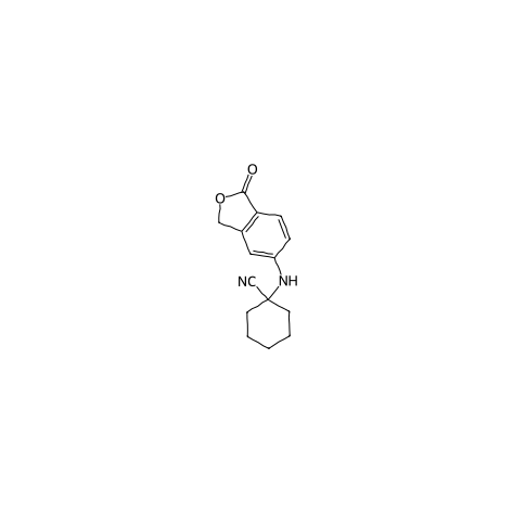 N#CC1(Nc2ccc3c(c2)COC3=O)CCCCC1